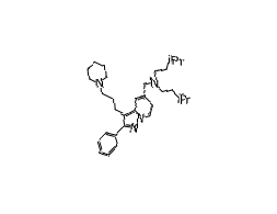 CC(C)CCN(CCC(C)C)Cc1ccn2nc(-c3ccccc3)c(CCCN3CCCCC3)c2c1